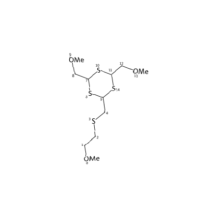 COCCSCC1SC(COC)SC(COC)S1